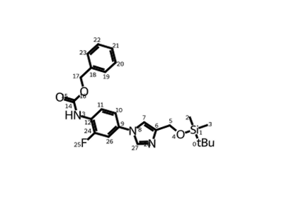 CC(C)(C)[Si](C)(C)OCc1cn(-c2ccc(NC(=O)OCc3ccccc3)c(F)c2)cn1